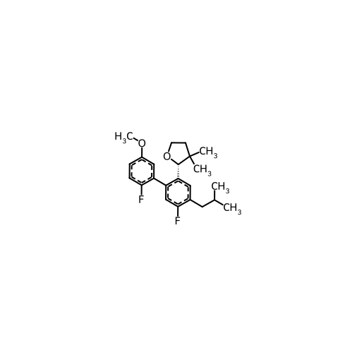 COc1ccc(F)c(-c2cc(F)c(CC(C)C)cc2[C@@H]2OCCC2(C)C)c1